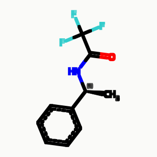 C[C@H](NC(=O)C(F)(F)F)c1ccccc1